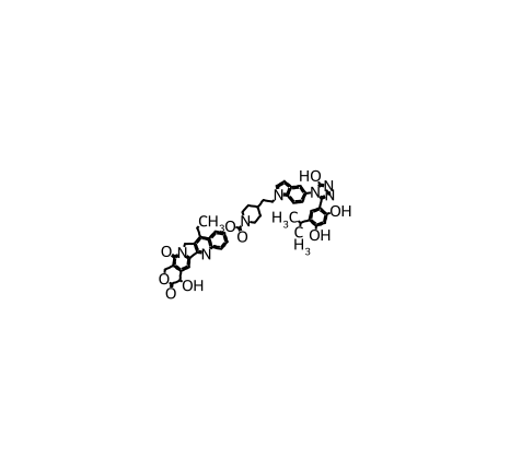 CCc1c2c(nc3ccc(OC(=O)N4CCC(CCn5ccc6cc(-n7c(O)nnc7-c7cc(C(C)C)c(O)cc7O)ccc65)CC4)cc13)-c1cc3c(c(=O)n1C2)COC(=O)C3O